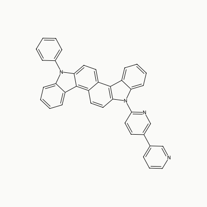 c1ccc(-n2c3ccccc3c3c4ccc5c(c4ccc32)c2ccccc2n5-c2ccc(-c3cccnc3)cn2)cc1